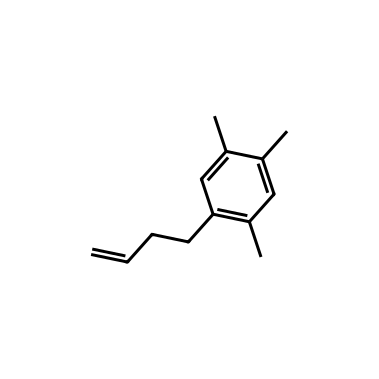 C=CCCc1cc(C)c(C)cc1C